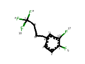 Fc1ccc([CH]CC(F)(F)F)cc1F